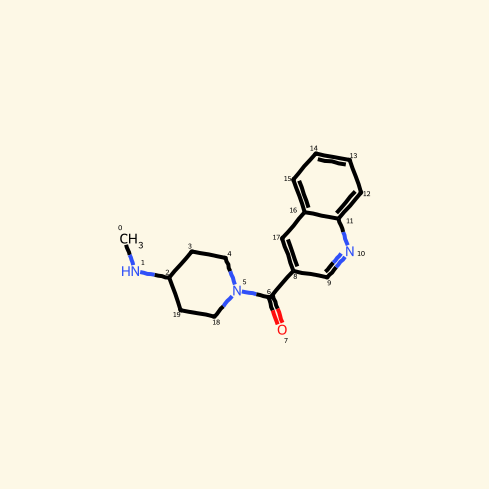 CNC1CCN(C(=O)c2cnc3ccccc3c2)CC1